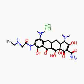 CC(C)CNCC(=O)Nc1cc(N(C)C)c2c(c1O)C(=O)C1=C(O)C3(O)C(=O)C(C(N)=O)=C(O)[C@@H](N(C)C)C3CC1C2.Cl.Cl